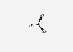 C#CC(C#C)CC[CH2]